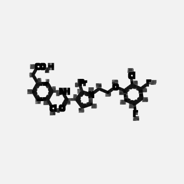 CC(C)c1c(C(=O)Nc2cc(CC(=O)O)ccc2Cl)ccn1CCOc1cc(F)cc(F)c1Cl